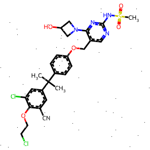 CC(C)(c1ccc(OCc2cnc(NS(C)(=O)=O)nc2N2CC(O)C2)cc1)c1cc(Cl)c(OCCCl)c(C#N)c1